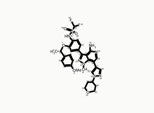 COc1ccc([C@H](C)Oc2cc(-c3nn(C)c4c(-c5cnn(C6CCOCC6)c5)cnc(N)c34)ccc2NS(=O)(=O)C(F)F)cc1